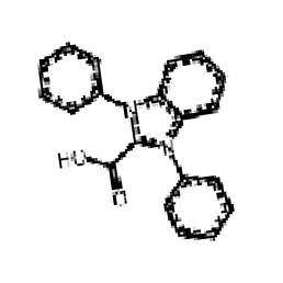 O=C(O)c1n(-c2ccccc2)c2ccccc2[n+]1-c1ccccc1